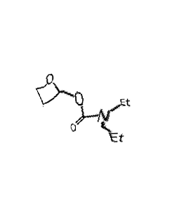 CCN(CC)C(=O)OC1[CH]CO1